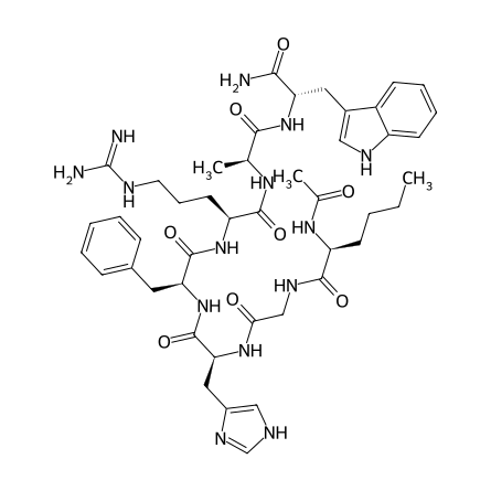 CCCC[C@H](NC(C)=O)C(=O)NCC(=O)N[C@@H](Cc1c[nH]cn1)C(=O)N[C@@H](Cc1ccccc1)C(=O)N[C@@H](CCCNC(=N)N)C(=O)N[C@@H](C)C(=O)N[C@@H](Cc1c[nH]c2ccccc12)C(N)=O